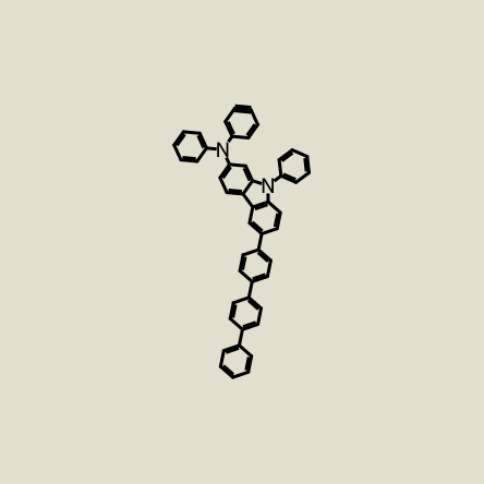 c1ccc(N(c2ccccc2)c2ccc3c4cc(-c5ccc(-c6ccc(-c7ccccc7)cc6)cc5)ccc4n(-c4ccccc4)c3c2)cc#1